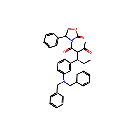 CC[C@@H](c1cccc(N(Cc2ccccc2)Cc2ccccc2)c1)C(C(C)=O)C(=O)N1C(=O)OC[C@@H]1c1ccccc1